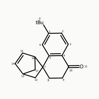 CC(C)(C)c1ccc2c(c1)C1(CCC2=O)CC2C=CC1C2